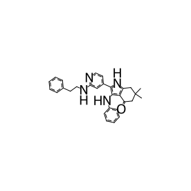 CC1(C)CC(=O)c2c([nH]c(-c3ccnc(NCCc4ccccc4)c3)c2Nc2ccccc2)C1